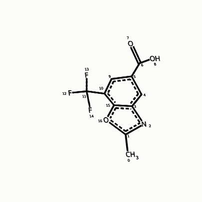 Cc1nc2cc(C(=O)O)cc(C(F)(F)F)c2o1